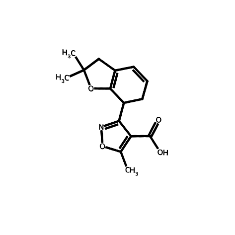 Cc1onc(C2CC=CC3=C2OC(C)(C)C3)c1C(=O)O